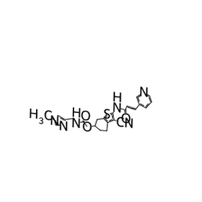 Cn1cnc(CNC(=O)OC2CCc3c(sc(NC(=O)C=Cc4cccnc4)c3C#N)C2)c1